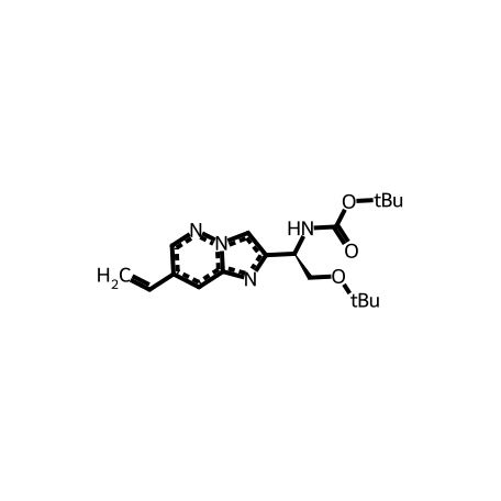 C=Cc1cnn2cc([C@H](COC(C)(C)C)NC(=O)OC(C)(C)C)nc2c1